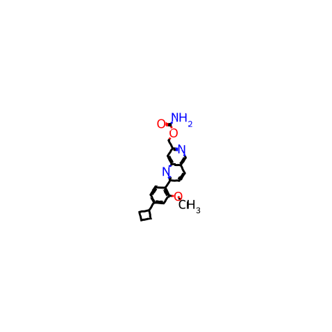 COc1cc(C2CCC2)ccc1-c1ccc2cnc(COC(N)=O)cc2n1